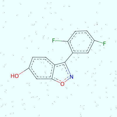 Oc1ccc2c(-c3cc(F)ccc3F)noc2c1